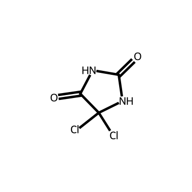 O=C1NC(=O)C(Cl)(Cl)N1